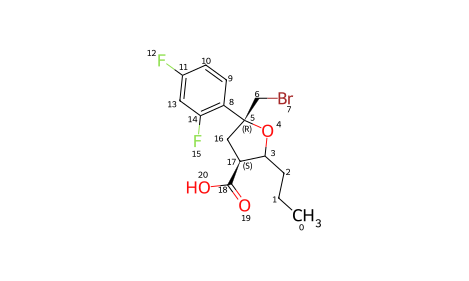 CCCC1O[C@@](CBr)(c2ccc(F)cc2F)C[C@@H]1C(=O)O